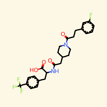 O=C(CC1CCN(C(=O)CCc2cccc(F)c2)CC1)NC(Cc1ccc(C(F)(F)F)cc1)C(=O)O